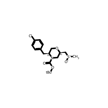 C[S+]([O-])C[C@H]1CN(C(=O)OC(C)(C)C)[C@@H](Cc2ccc(Cl)cc2)CO1